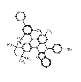 Cc1cc2c3c(c1)N(c1ccc(C(C)(C)C)cc1)c1c(oc4ccccc14)B3c1cc3c(cc1N2c1c(C)cc(-c2ccccc2)cc1C)C(C)(C)CCC3(C)C